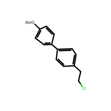 COc1ccc(-c2ccc(CCCl)cc2)cc1